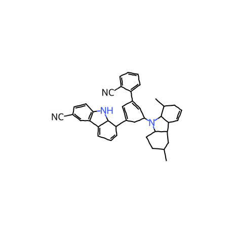 CC1CCC2C(C1)C1C=CCC(C)C1N2C1C=C(c2ccccc2C#N)C=C(C2C=CC=C3c4cc(C#N)ccc4NC32)C1